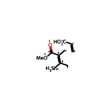 C=CC(=O)O.COC(=O)C(C)=C(C)[SiH3]